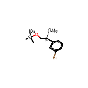 CO[C@@H](CO[Si](C)(C)C(C)(C)C)c1cccc(Br)c1